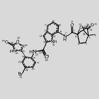 CC12CCC(C(=O)Nc3cccc4cc(C(=O)Nc5ccc(Br)cc5-c5noc(=O)[nH]5)[nH]c34)(OC1=O)C2(C)C